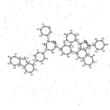 c1ccc(-c2nc(-c3ccc(-c4cccc5c4sc4ccccc45)cc3)cc(-c3ccc(-c4cc5ccccc5c5c4c(-c4ccccc4)nn5-c4ccccc4)cc3)n2)cc1